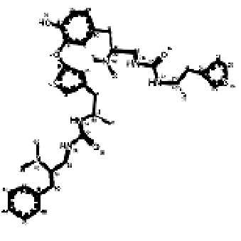 C[C@H](Cc1csc(Oc2cc(C[C@@H](CNC(=O)N[C@@H](C)Cc3ccsc3)N(C)C)ccc2O)c1)NC(=O)NCC(Cc1ccccc1)N(C)C